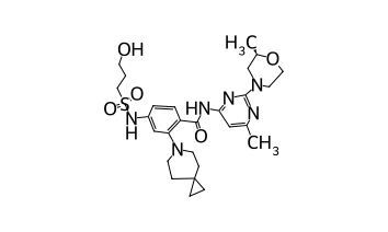 Cc1cc(NC(=O)c2ccc(NS(=O)(=O)CCCO)cc2N2CCC3(CC2)CC3)nc(N2CCO[C@H](C)C2)n1